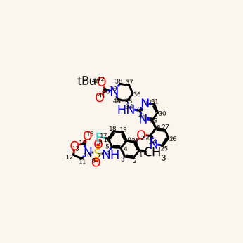 Cc1ccc2c(NS(=O)(=O)N3CCOC3=O)c(F)ccc2c1Oc1ncccc1-c1ccnc(N[C@H]2CCCN(C(=O)OC(C)(C)C)C2)n1